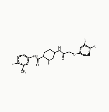 O=C(COc1ccc(Cl)c(F)c1)NC1CCC(C(=O)Nc2ccc(F)c(C(F)(F)F)c2)NC1